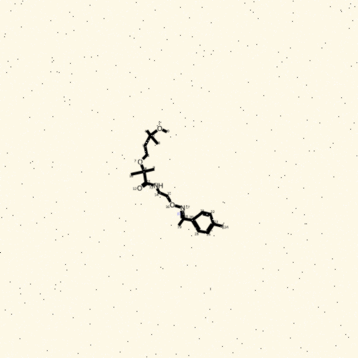 COC(C)(C)CCOC(C)(C)C(=O)NCCO/N=C(\C)c1ccc(I)cc1